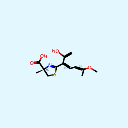 C=C(O)/C(=C\C=C(/C)OC)C1=N[C@@](C)(C(=O)O)CS1